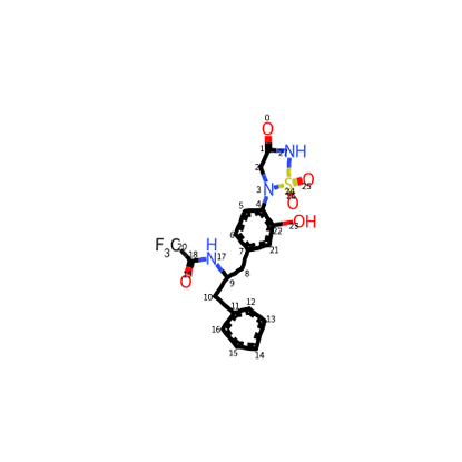 O=C1CN(c2ccc(CC(Cc3ccccc3)NC(=O)C(F)(F)F)cc2O)S(=O)(=O)N1